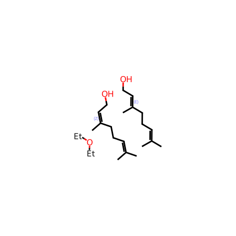 CC(C)=CCC/C(C)=C/CO.CC(C)=CCC/C(C)=C\CO.CCOCC